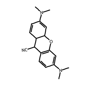 CN(C)C1=CC2Oc3cc(N(C)C)ccc3C(C#N)C2C=C1